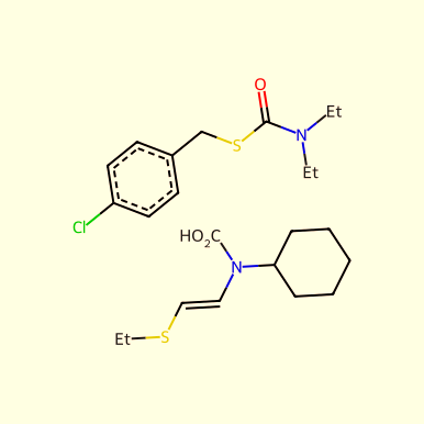 CCN(CC)C(=O)SCc1ccc(Cl)cc1.CCSC=CN(C(=O)O)C1CCCCC1